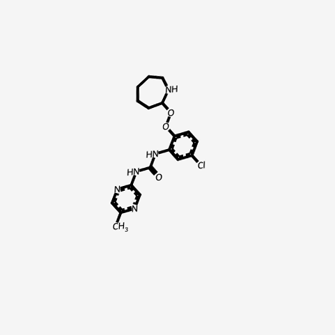 Cc1cnc(NC(=O)Nc2cc(Cl)ccc2OOC2CCCCCN2)cn1